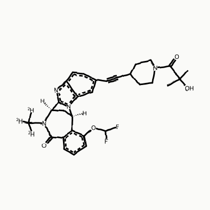 [2H]C([2H])([2H])N1C(=O)c2cccc(OC(F)F)c2[C@H]2C[C@@H]1c1nc3ccc(C#CC4CCN(C(=O)C(C)(C)O)CC4)cc3n12